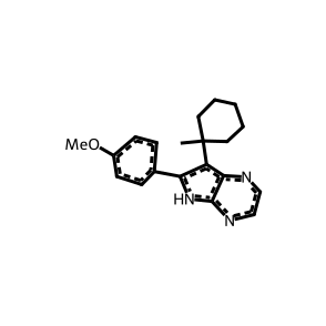 COc1ccc(-c2[nH]c3nccnc3c2C2(C)CCCCC2)cc1